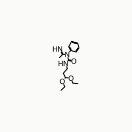 CCOC(CCNC(=O)N(C(C)=N)c1ccccc1)OCC